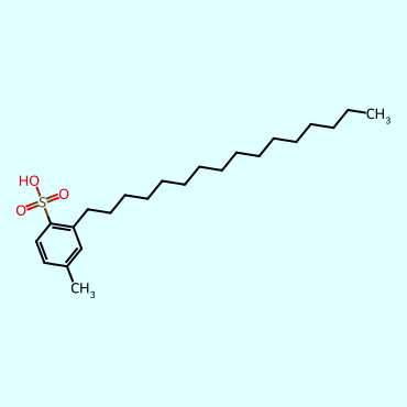 CCCCCCCCCCCCCCCCc1cc(C)ccc1S(=O)(=O)O